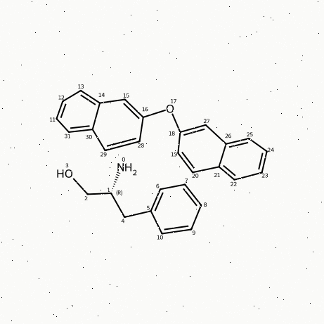 N[C@@H](CO)Cc1ccccc1.c1ccc2cc(Oc3ccc4ccccc4c3)ccc2c1